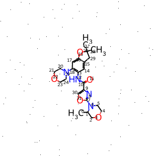 CC1COCCN1c1nc(C(=O)Nc2cc3c(cc2N2CCOCC2)OC(C)(C)C3)co1